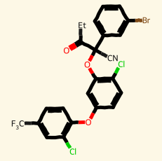 CCC(=O)C(C#N)(Oc1cc(Oc2ccc(C(F)(F)F)cc2Cl)ccc1Cl)c1cccc(Br)c1